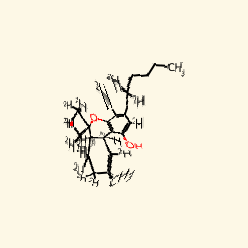 [2H]C1=C(C)C([2H])([2H])C([2H])([2H])[C@]2([2H])[C@@H]1c1c(O)c([2H])c(C([2H])([2H])CCCC)c([2H])c1OC2(C([2H])([2H])[2H])C([2H])([2H])[2H]